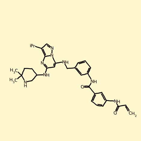 C=CC(=O)Nc1cccc(C(=O)Nc2cccc(CNc3cc(NC4CCC(C)(C)NC4)nc4c(C(C)C)cnn34)c2)c1